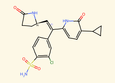 NS(=O)(=O)c1ccc(/C(=C\[C@H]2CCC(=O)N2)c2ccc(C3CC3)c(=O)[nH]2)cc1Cl